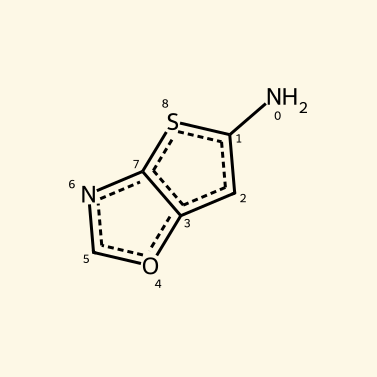 Nc1cc2ocnc2s1